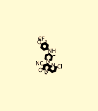 C[C@H]1CN(c2c(C#N)c(=O)n(C)c3ccc(Cl)nc23)CC[C@H]1Nc1ccc(OC(F)(F)F)cc1